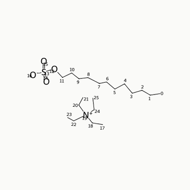 CCCCCCCCCCCCOS(=O)(=O)[O-].CC[N+](CC)(CC)CC